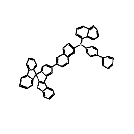 c1ccc(-c2ccc(N(c3ccc4cc(-c5ccc6c(c5)-c5c(sc7ccccc57)C65c6ccccc6-c6ccccc65)ccc4c3)c3cccc4ccccc34)cc2)cc1